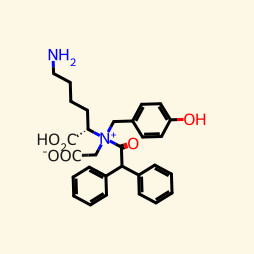 NCCCC[C@@H](C(=O)O)[N+](CC(=O)[O-])(Cc1ccc(O)cc1)C(=O)C(c1ccccc1)c1ccccc1